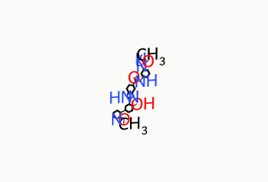 COc1ncccc1-c1ccc(O)c(-c2nc3cc(C(=O)Nc4cccc(N5CCN(C)C5=O)c4)ccc3[nH]2)c1